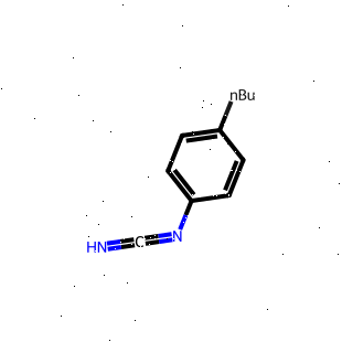 CCCCc1ccc(N=C=N)cc1